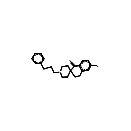 O=C1c2ccc(Cl)cc2CCC12CCN(CCCc1ccccc1)CC2